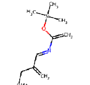 C=C(/C=N/C(=C)O[Si](C)(C)C)COC